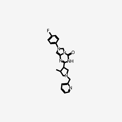 CC1CN(Cc2ccccn2)CC1C1=NC2=CN(c3ccc(F)cc3)CN2C(=O)N1